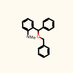 CNc1ccccc1C(OCc1ccccc1)c1ccccc1